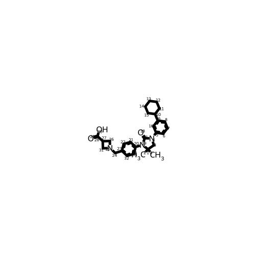 CC1(C)CN(c2cccc(C3CCCCC3)c2)C(=O)N1c1ccc(CN2CC(C(=O)O)C2)cc1